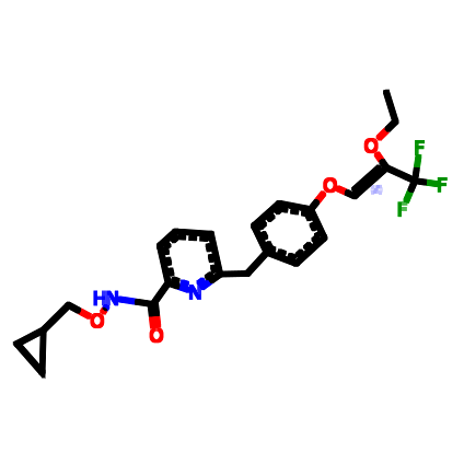 CCO/C(=C\Oc1ccc(Cc2cccc(C(=O)NOCC3CC3)n2)cc1)C(F)(F)F